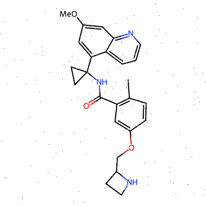 COc1cc(C2(NC(=O)c3cc(OCC4CCN4)ccc3C)CC2)c2cccnc2c1